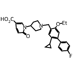 CCOc1cc(-c2ccc(F)cc2)c(C2CC2)cc1CN1CCC(n2cc(C(=O)O)ccc2=O)CC1